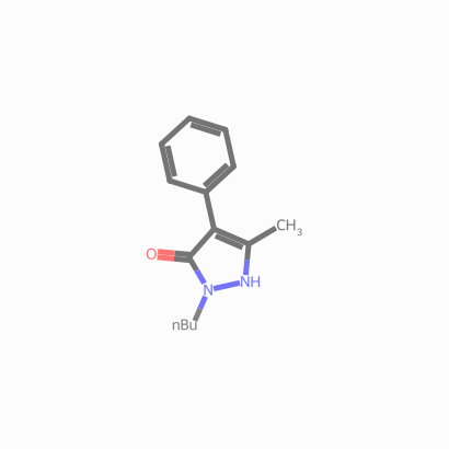 CCCCn1[nH]c(C)c(-c2ccccc2)c1=O